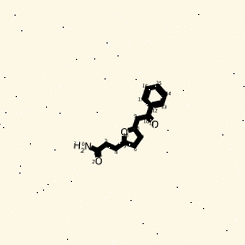 NC(=O)CCC1CCC(CC(=O)c2ccccc2)O1